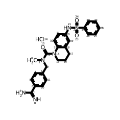 CN(Cc1ccc(C(=N)N)cc1)C(=O)N1CCCc2cc(NS(=O)(=O)c3ccccc3)ccc21.Cl